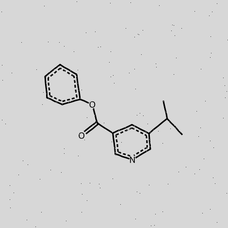 CC(C)c1cncc(C(=O)Oc2ccccc2)c1